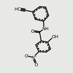 C#Cc1cccc(NC(=O)c2cc([N+](=O)[O-])ccc2O)c1